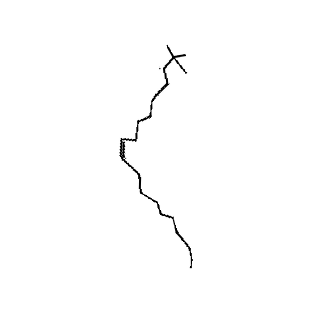 CCCCCCCC/C=C\CCCCC[CH]C(C)(C)C